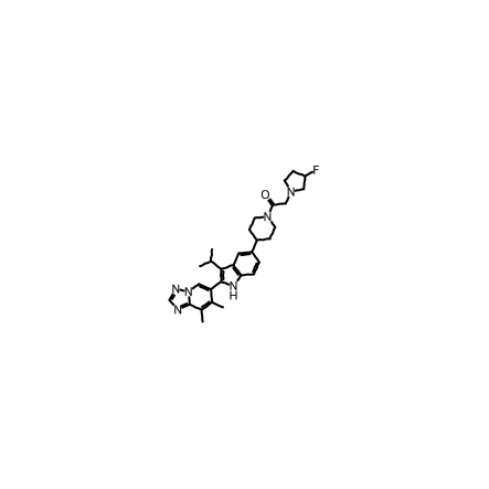 Cc1c(-c2[nH]c3ccc(C4CCN(C(=O)CN5CCC(F)C5)CC4)cc3c2C(C)C)cn2ncnc2c1C